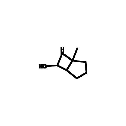 CC12CCCC1C(O)N2